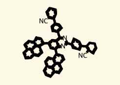 N#CC1=C(c2ccc(-c3nc(-c4ccc(-c5ccccc5C#N)cc4)c4cc(-c5ccc6ccc7cccc8ccc5c6c78)cc(-c5ccc6ccc7cccc8ccc5c6c78)c4n3)cc2)CCC=C1